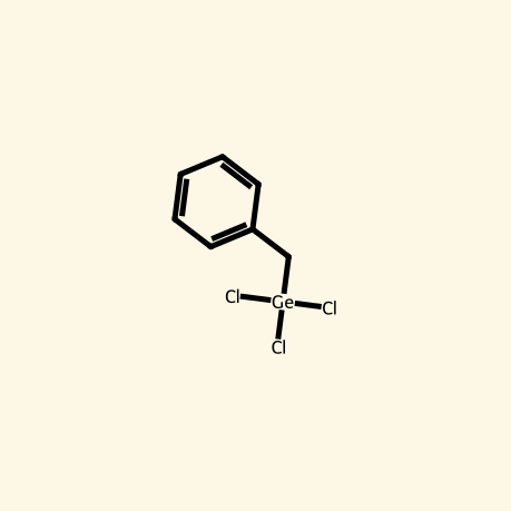 [Cl][Ge]([Cl])([Cl])[CH2]c1ccccc1